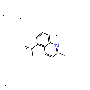 Cc1ccc2c(C(C)C)cccc2n1